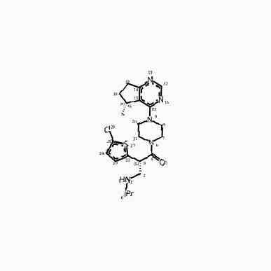 CC(C)NC[C@@H](C(=O)N1CCN(c2ncnc3c2[C@H](C)CC3)CC1)c1ccc(Cl)s1